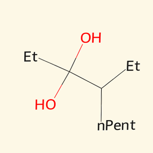 CCCCCC(CC)C(O)(O)CC